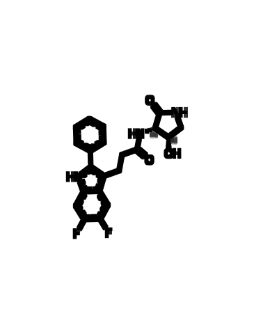 O=C(CCc1c(-c2ccccc2)[nH]c2cc(F)c(F)cc12)N[C@@H]1C(=O)NC[C@H]1O